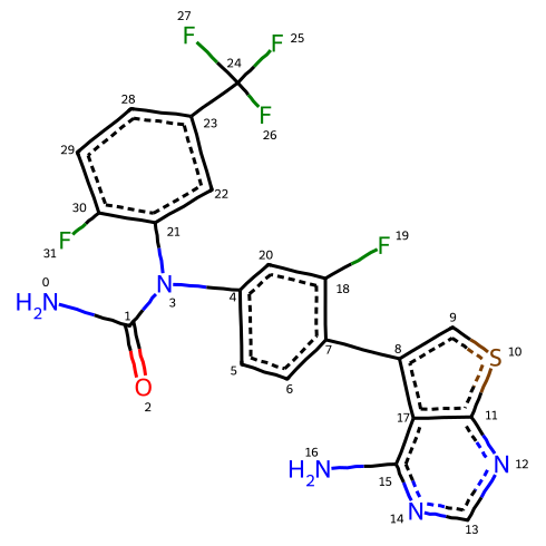 NC(=O)N(c1ccc(-c2csc3ncnc(N)c23)c(F)c1)c1cc(C(F)(F)F)ccc1F